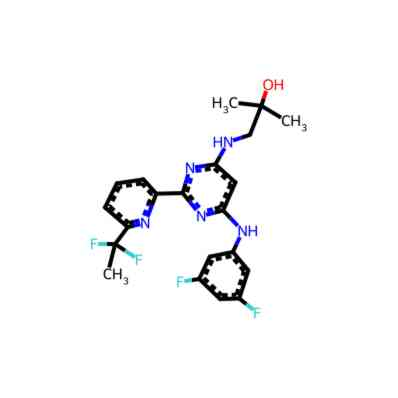 CC(C)(O)CNc1cc(Nc2cc(F)cc(F)c2)nc(-c2cccc(C(C)(F)F)n2)n1